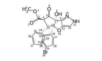 COC(=O)[C@H]1C(=O)[C@@]2(O)c3n[nH]cc3O[C@@]2(c2ccc(Br)cc2)[C@@H]1c1ccccc1